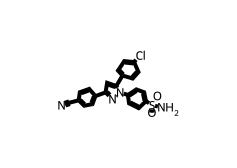 N#Cc1ccc(-c2cc(-c3ccc(Cl)cc3)n(-c3ccc(S(N)(=O)=O)cc3)n2)cc1